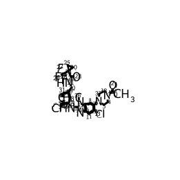 CC(=O)N1CCN(c2cc3c(cc2Cl)nc(Nc2cc(CNC(=O)C4(C(F)(F)F)CC4)ccc2Cl)n3C)CC1